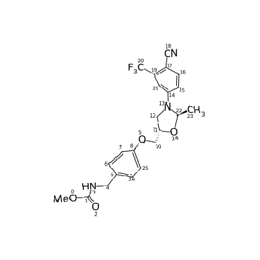 COC(=O)NCc1ccc(OC[C@@H]2CN(c3ccc(C#N)c(C(F)(F)F)c3)[C@@H](C)O2)cc1